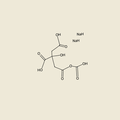 O=C(O)CC(O)(CC(=O)OC(=O)O)C(=O)O.[NaH].[NaH]